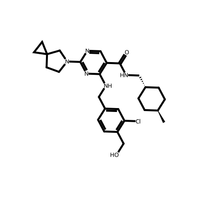 C[C@H]1CC[C@H](CNC(=O)c2cnc(N3CCC4(CC4)C3)nc2NCc2ccc(CO)c(Cl)c2)CC1